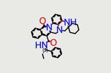 CC[C@H](NC(=O)c1c(CN2CCNC3(CCCCC3)C2)n(-c2ccccc2)c(=O)c2ccccc12)c1ccccc1